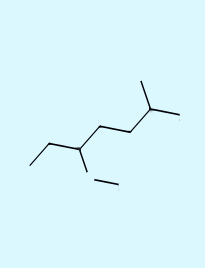 [CH2]CC(CCC(C)C)SC